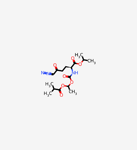 CC(C)OC(=O)[C@H](CCC(=O)C=[N+]=[N-])NC(=O)OC(C)OC(=O)C(C)C